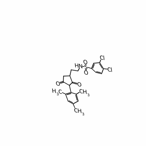 Cc1cc(C)c(C2C(=O)CC(CCNS(=O)(=O)c3ccc(Cl)c(Cl)c3)C2=O)c(C)c1